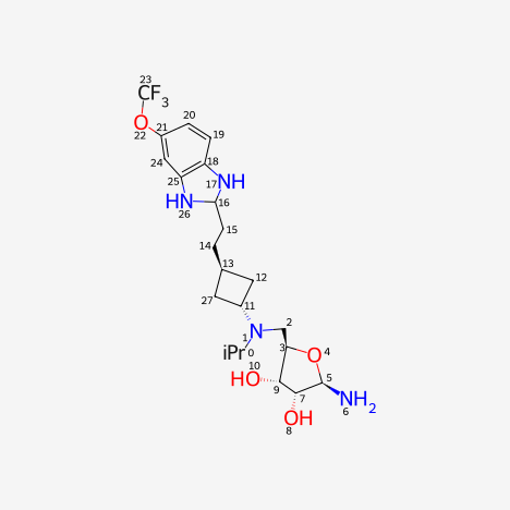 CC(C)N(C[C@H]1O[C@@H](N)[C@H](O)[C@@H]1O)[C@H]1C[C@H](CCC2Nc3ccc(OC(F)(F)F)cc3N2)C1